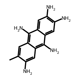 Cc1cc2c(N)c3cc(N)c(N)cc3c(N)c2cc1N